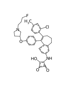 Cc1ccc(C2=C(c3ccc(OC4CCN(CCCF)C4)cc3)c3ccc(Nc4c(O)c(=O)c4=O)cc3CCC2)c(Cl)c1